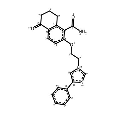 NC(=O)c1c(OCCn2cnc(-c3ccccc3)c2)ccc2c1CCCC2=O